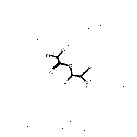 O=C(OC(F)C(F)F)C(Cl)Cl